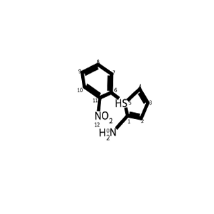 NC1=CC=C[SH]1c1ccccc1[N+](=O)[O-]